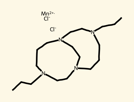 CCCN1CCCN2CCN(CCC)CCCN(CC1)CC2.[Cl-].[Cl-].[Mn+2]